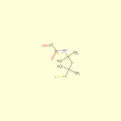 CC(C)(CF)CC(C)(C)NC(=O)C=O